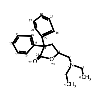 CCN(CC)CC1CC(c2ccccc2)(c2ccccc2)C(=O)O1